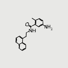 Cc1ccc(N)cc1C(=O)NCCc1cccc2ccccc12